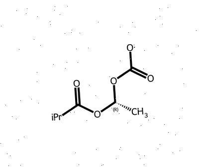 CC(C)C(=O)O[C@@H](C)OC([O])=O